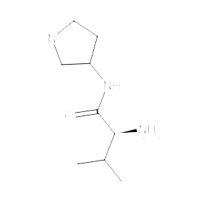 CC(C)[C@H](N)C(=O)NC1CC[N]C1